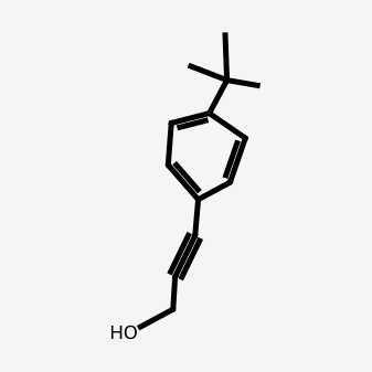 CC(C)(C)c1ccc(C#CCO)cc1